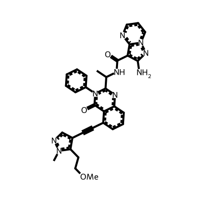 COCCc1c(C#Cc2cccc3nc(C(C)NC(=O)c4c(N)nn5cccnc45)n(-c4ccccc4)c(=O)c23)cnn1C